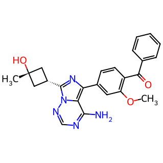 COc1cc(-c2nc([C@H]3C[C@@](C)(O)C3)n3ncnc(N)c23)ccc1C(=O)c1ccccc1